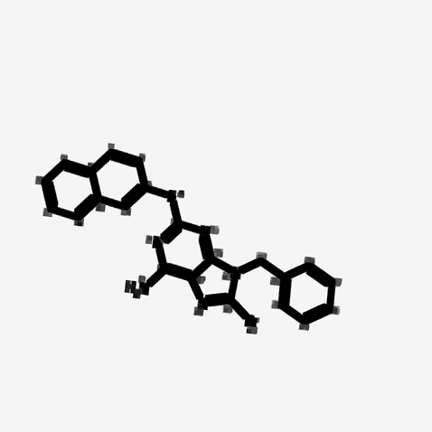 Nc1nc(Sc2ccc3ccccc3c2)nc2c1nc(Br)n2Cc1ccccc1